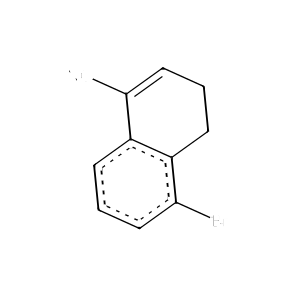 N#CC1=CCCc2c(Br)cccc21